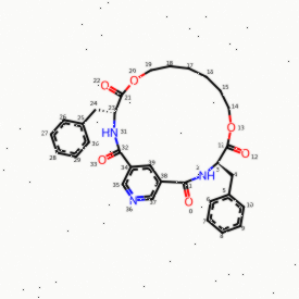 O=C1N[C@H](Cc2ccccc2)C(=O)OCCCCCCOC(=O)[C@@H](Cc2ccccc2)NC(=O)c2cncc1c2